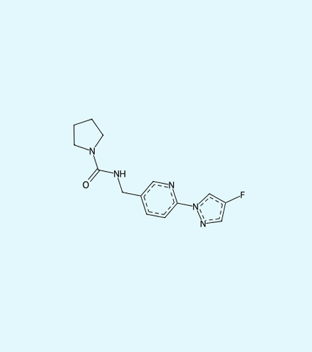 O=C(NCc1ccc(-n2cc(F)cn2)nc1)N1CCCC1